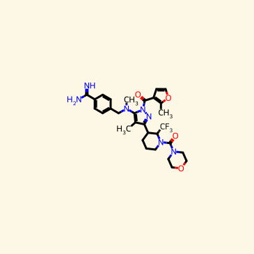 Cc1occc1C(=O)n1nc(C2CCCN(C(=O)N3CCOCC3)C2C(F)(F)F)c(C)c1N(C)Cc1ccc(C(=N)N)cc1